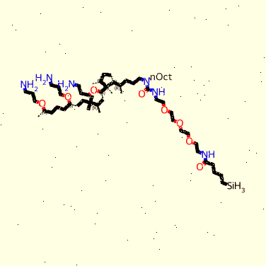 CCCCCCCCN(CCC[C@@H](C)[C@H]1CC[C@@H](C)[C@]1(C)[C@H](C[C@@H](C)C(C)(C)CC[C@H](CCC[C@H](C)OCCCN)OCCCN)OCCCN)C(=O)NCCOCCOCCOCCNC(=O)CCCC[SiH3]